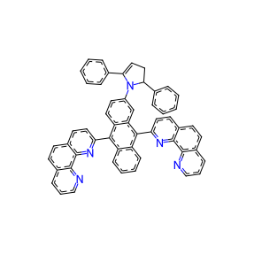 C1=C(c2ccccc2)N(c2ccc3c(-c4ccc5ccc6cccnc6c5n4)c4ccccc4c(-c4ccc5ccc6cccnc6c5n4)c3c2)C(c2ccccc2)C1